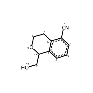 N#Cc1cccc2c1CCOC2CO